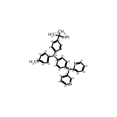 CCCC(C)(C)c1ccc(N(c2ccc(C)cc2)c2ccc(N(c3cccnc3)c3ccccn3)cc2)cc1